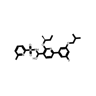 CC[C@H](C)Oc1nc(-c2cc(F)cc(OCC(C)C)c2)ccc1C(O)NS(=O)(=O)c1cccc(C)n1